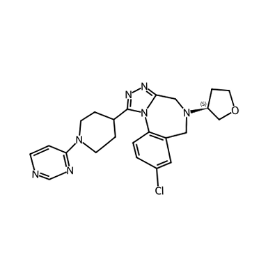 Clc1ccc2c(c1)CN([C@H]1CCOC1)Cc1nnc(C3CCN(c4ccncn4)CC3)n1-2